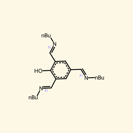 CCCC/N=C/c1cc(/C=N/CCCC)c(O)c(/C=N/CCCC)c1